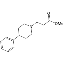 COC(=O)CCN1CCC(c2ccccc2)CC1